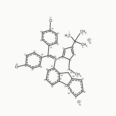 CCC1C=C(C(C)(C)C)C=[C]1[Zr+2](=[C](c1ccc(Cl)cc1)c1ccc(Cl)cc1)[c]1cccc2c1Cc1ccccc1-2.[Cl-].[Cl-]